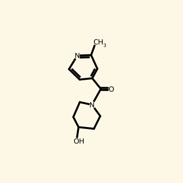 Cc1cc(C(=O)N2CCC(O)CC2)ccn1